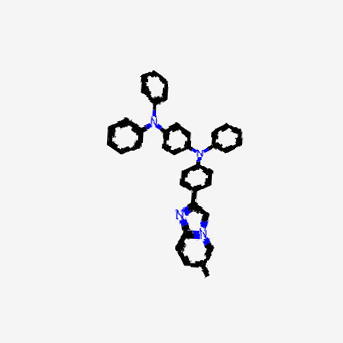 Cc1ccc2nc(-c3ccc(N(c4ccccc4)c4ccc(N(c5ccccc5)c5ccccc5)cc4)cc3)cn2c1